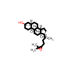 C[C@H](CCC1OC1(C)C)[C@H]1CC[C@H]2[C@@H]3CC[C@@H]4C[C@H](O)CC[C@]4(C)[C@H]3CC[C@]12C